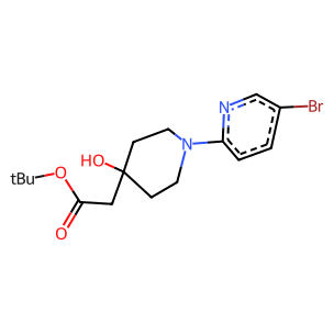 CC(C)(C)OC(=O)CC1(O)CCN(c2ccc(Br)cn2)CC1